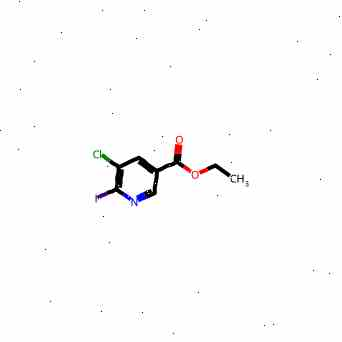 CCOC(=O)c1cnc(I)c(Cl)c1